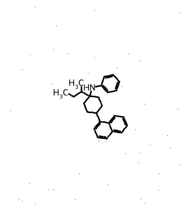 CCC(C)C1(Nc2ccccc2)CCC(c2cccc3ccccc23)CC1